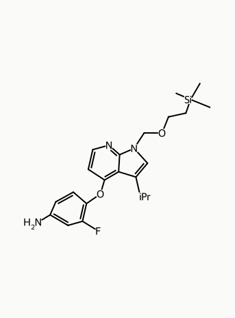 CC(C)c1cn(COCC[Si](C)(C)C)c2nccc(Oc3ccc(N)cc3F)c12